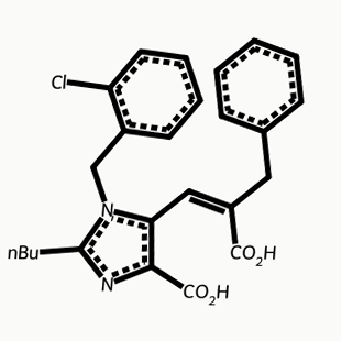 CCCCc1nc(C(=O)O)c(C=C(Cc2ccccc2)C(=O)O)n1Cc1ccccc1Cl